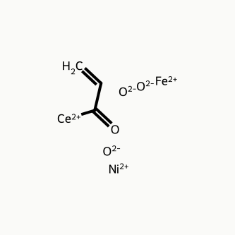 C=C[C](=O)[Ce+2].[Fe+2].[Ni+2].[O-2].[O-2].[O-2]